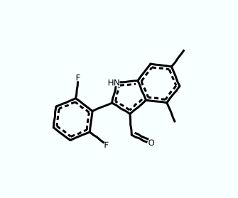 Cc1cc(C)c2c(C=O)c(-c3c(F)cccc3F)[nH]c2c1